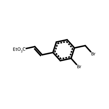 CCOC(=O)C=Cc1ccc(CBr)c(Br)c1